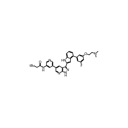 CN(C)CCOc1cc(F)cc(-c2cccc3[nH]c(-c4n[nH]c5ncc(-c6cncc(NC(=O)CC(C)(C)C)c6)cc45)cc23)c1